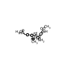 CCOC(=O)[C@@H]1CC2(CCN(c3cc(O[C@H](c4ccc(-c5ccc(CCNC(C)=O)cc5)cc4-n4ccc(C)n4)C(F)(F)F)nc(N)n3)CC2)CN1